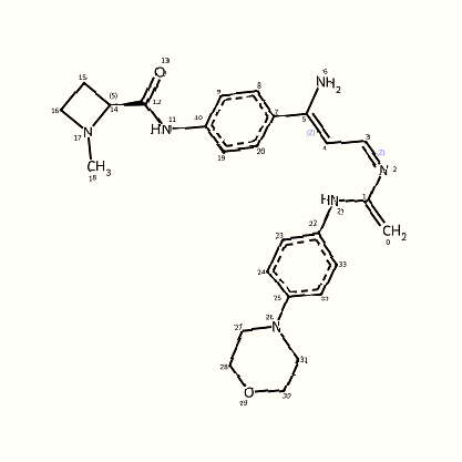 C=C(/N=C\C=C(/N)c1ccc(NC(=O)[C@@H]2CCN2C)cc1)Nc1ccc(N2CCOCC2)cc1